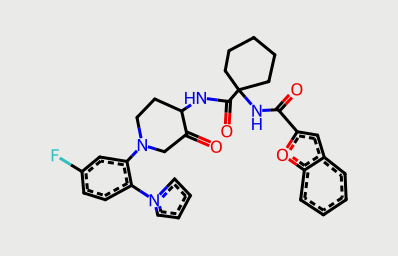 O=C(NC1(C(=O)NC2CCN(c3cc(F)ccc3-n3cccc3)CC2=O)CCCCC1)c1cc2ccccc2o1